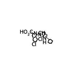 CN(CC(=O)NCc1ccccc1)c1nc(C(=O)O)cc2cc(Cl)cc(Cl)c12